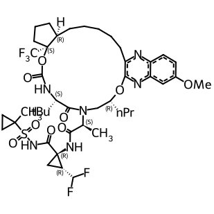 CCC[C@@H]1CN([C@@H](C)C(=O)N[C@]2(C(=O)NS(=O)(=O)C3(C)CC3)C[C@H]2C(F)F)C(=O)[C@H](C(C)(C)C)NC(=O)O[C@@]2(C(F)(F)F)CCC[C@H]2CCCCCc2nc3ccc(OC)cc3nc2O1